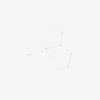 C=C(C)CC1CCCC1(C)O